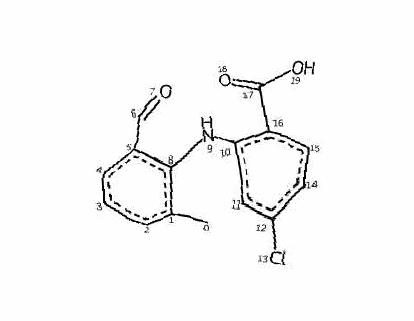 Cc1cccc(C=O)c1Nc1cc(Cl)ccc1C(=O)O